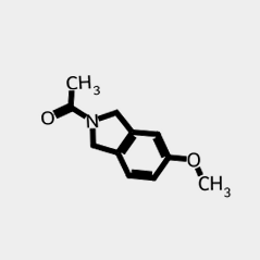 COc1ccc2c(c1)CN(C(C)=O)C2